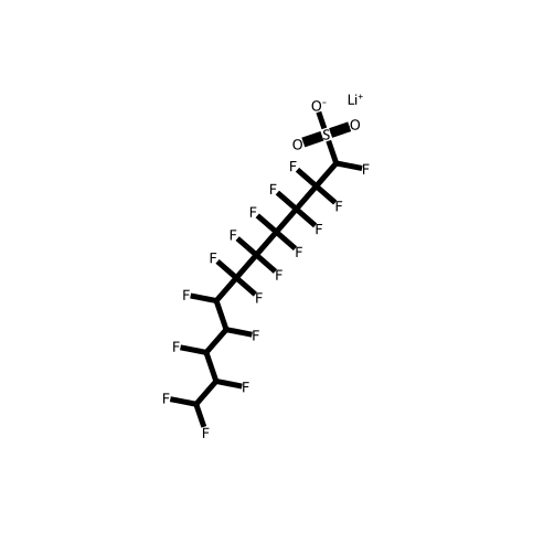 O=S(=O)([O-])C(F)C(F)(F)C(F)(F)C(F)(F)C(F)(F)C(F)(F)C(F)C(F)C(F)C(F)C(F)F.[Li+]